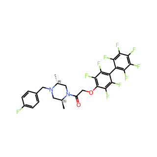 C[C@@H]1CN(C(=O)COc2c(F)c(F)c(-c3c(F)c(F)c(F)c(F)c3F)c(F)c2F)[C@@H](C)CN1Cc1ccc(F)cc1